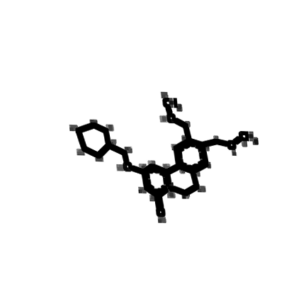 COCc1cc2c(cc1COC)-c1cc(OCC3CCCCC3)cc(=O)n1CC2